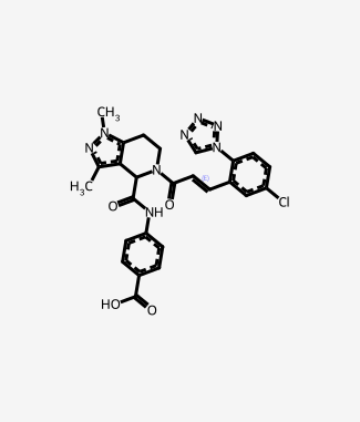 Cc1nn(C)c2c1C(C(=O)Nc1ccc(C(=O)O)cc1)N(C(=O)/C=C/c1cc(Cl)ccc1-n1cnnn1)CC2